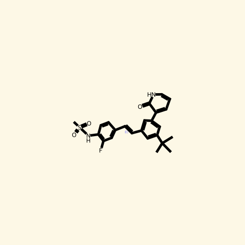 CC(C)(C)c1cc(/C=C/c2ccc(NS(C)(=O)=O)c(F)c2)cc(-c2ccc[nH]c2=O)c1